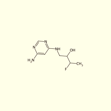 CC(F)C(O)CNc1cc(N)ncn1